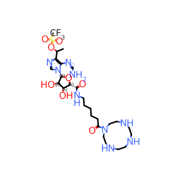 CC(OS(=O)(=O)C(F)(F)F)c1ncn([C@@H]2O[C@H](C(=O)NCCCCCC(=O)N3CCNCCNCCNCC3)[C@@H](O)[C@H]2O)c1/N=C\N